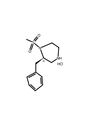 CS(=O)(=O)N1CCNC[C@H]1Cc1ccccc1.Cl